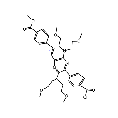 COCCN(CCOC)c1nc(-c2ccc(C(=O)O)cc2)c(N(CCOC)CCOC)nc1/C=C/c1ccc(C(=O)OC)cc1